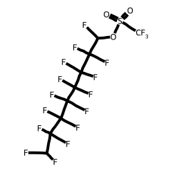 O=S(=O)(OC(F)C(F)(F)C(F)(F)C(F)(F)C(F)(F)C(F)(F)C(F)(F)C(F)F)C(F)(F)F